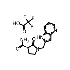 NC(=O)[C@@H]1CCN(Cc2cc3ncccc3[nH]2)C1=O.O=C(O)C(F)(F)F